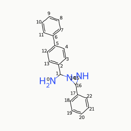 NC(c1ccc(-c2ccccc2)cc1)N1NC1c1ccccc1